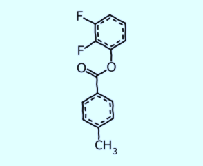 Cc1ccc(C(=O)Oc2cccc(F)c2F)cc1